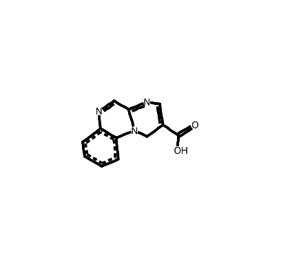 O=C(O)C1=CN=C2C=Nc3ccccc3N2C1